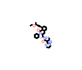 CCOC(C)C#Cc1cccc2cc([C@@H](C)NC(=O)c3c(C)nn4cccnc34)n(-c3ccccc3)c(=O)c12